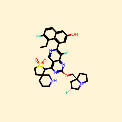 CCc1c(F)ccc2cc(O)cc(-c3ncc4c(C5C6(CCCNC6)CCS5(=O)=O)nc(OC[C@@]56CCCN5C[C@H](F)C6)nc4c3F)c12